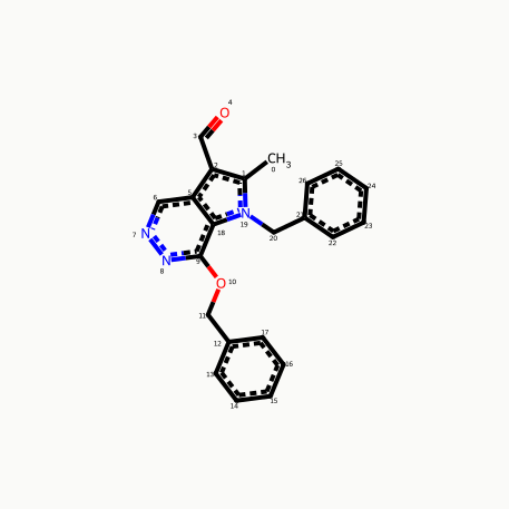 Cc1c(C=O)c2cnnc(OCc3ccccc3)c2n1Cc1ccccc1